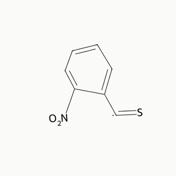 O=[N+]([O-])c1ccccc1[C]=S